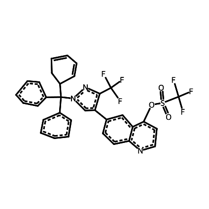 O=S(=O)(Oc1ccnc2ccc(-c3cn(C(c4ccccc4)(c4ccccc4)C4C=CC=CC4)nc3C(F)(F)F)cc12)C(F)(F)F